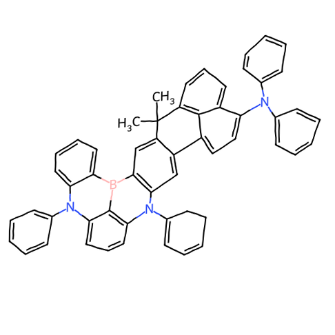 CC1(C)c2cc3c(cc2-c2ccc(N(c4ccccc4)c4ccccc4)c4cccc1c24)N(C1=CC=CCC1)c1cccc2c1B3c1ccccc1N2c1ccccc1